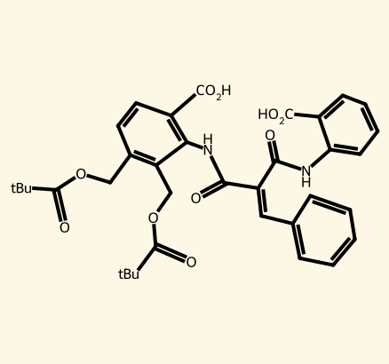 CC(C)(C)C(=O)OCc1ccc(C(=O)O)c(NC(=O)C(=Cc2ccccc2)C(=O)Nc2ccccc2C(=O)O)c1COC(=O)C(C)(C)C